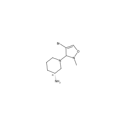 CN1OC=C(Br)C1N1CCC[C@@H](N)C1